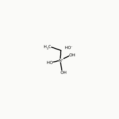 CC[N+](O)(O)O.[OH-]